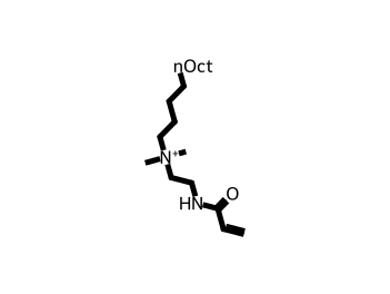 C=CC(=O)NCC[N+](C)(C)CCCCCCCCCCCC